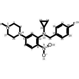 CN1CCN(c2ccc([N+](=O)[O-])c(N(Cc3ccc(F)cc3)C3CC3)c2)CC1